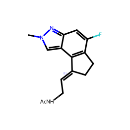 CC(=O)NC/C=C1\CCc2c(F)cc3nn(C)cc3c21